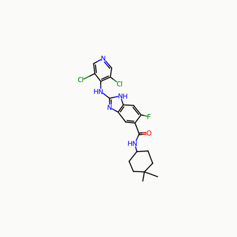 CC1(C)CCC(NC(=O)c2cc3nc(Nc4c(Cl)cncc4Cl)[nH]c3cc2F)CC1